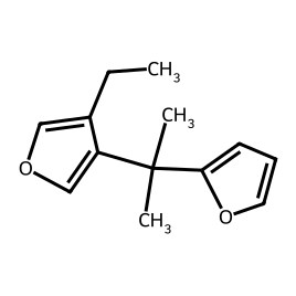 CCc1cocc1C(C)(C)c1ccco1